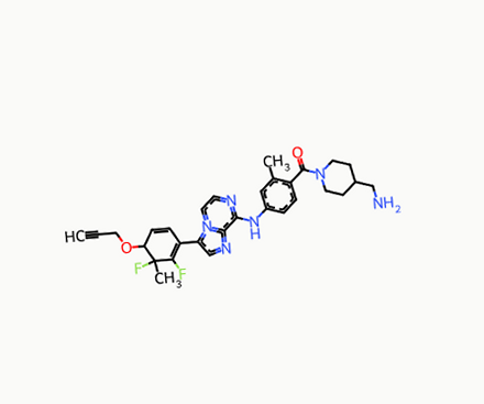 C#CCOC1C=CC(c2cnc3c(Nc4ccc(C(=O)N5CCC(CN)CC5)c(C)c4)nccn23)=C(F)C1(C)F